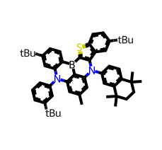 Cc1cc2c3c(c1)N(c1ccc4c(c1)C(C)(C)CCC4(C)C)c1c(sc4ccc(C(C)(C)C)cc14)B3c1ccc(C(C)(C)C)cc1N2c1cccc(C(C)(C)C)c1